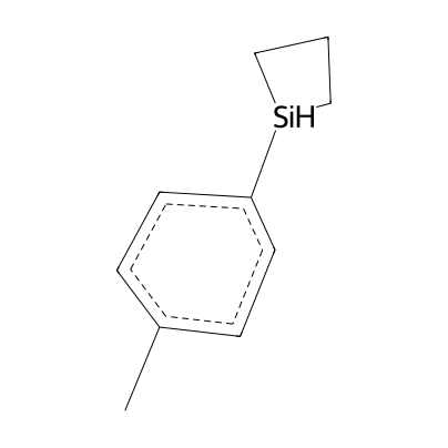 Cc1ccc([SiH]2CCC2)cc1